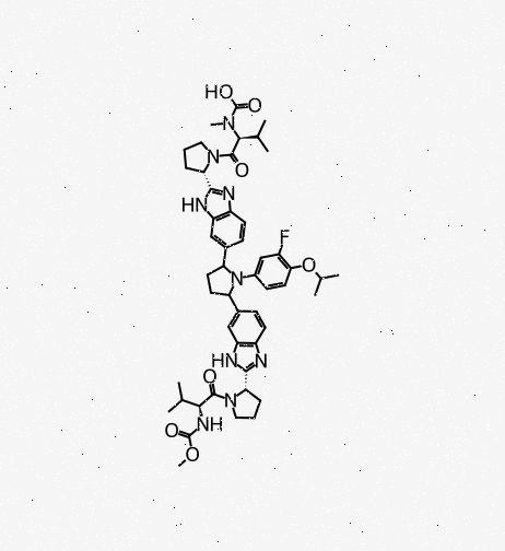 COC(=O)N[C@H](C(=O)N1CCC[C@H]1c1nc2ccc(C3CCC(c4ccc5nc([C@@H]6CCCN6C(=O)[C@H](C(C)C)N(C)C(=O)O)[nH]c5c4)N3c3ccc(OC(C)C)c(F)c3)cc2[nH]1)C(C)C